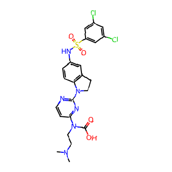 CN(C)CCN(C(=O)O)c1ccnc(N2CCc3cc(NS(=O)(=O)c4cc(Cl)cc(Cl)c4)ccc32)n1